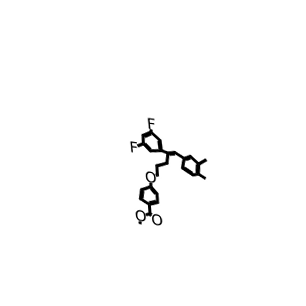 COC(=O)c1ccc(OCCC/C(=C\c2ccc(C)c(C)c2)c2cc(F)cc(F)c2)cc1